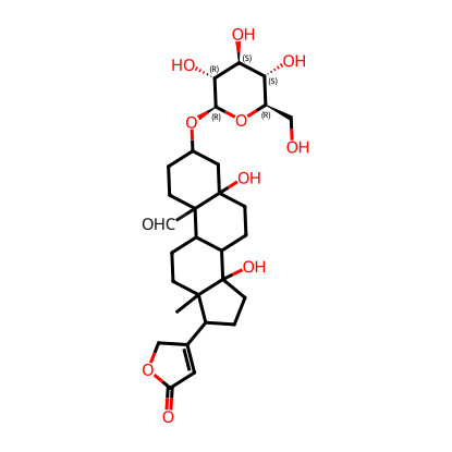 CC12CCC3C(CCC4(O)CC(O[C@@H]5O[C@H](CO)[C@@H](O)[C@H](O)[C@H]5O)CCC34C=O)C1(O)CCC2C1=CC(=O)OC1